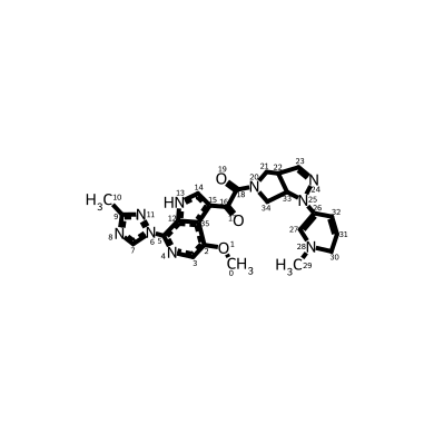 COc1cnc(-n2cnc(C)n2)c2[nH]cc(C(=O)C(=O)N3CC4C=NN(C5=CN(C)CC=C5)C4C3)c12